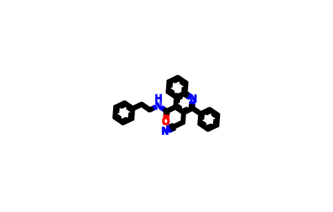 N#CCc1c(-c2ccccc2)nc2ccccc2c1C(=O)NCCc1ccccc1